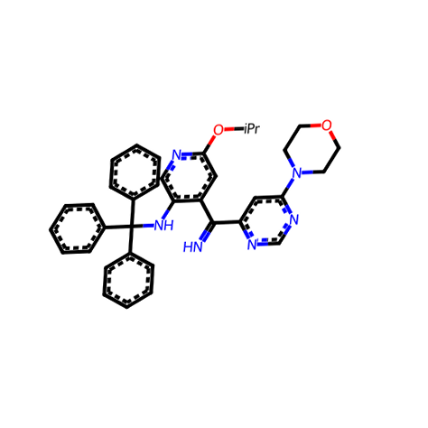 CC(C)Oc1cc(C(=N)c2cc(N3CCOCC3)ncn2)c(NC(c2ccccc2)(c2ccccc2)c2ccccc2)cn1